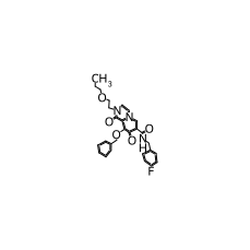 CCCOCCn1ccn2cc(C(=O)NCc3ccc(F)cc3)c(=O)c(OCc3ccccc3)c2c1=O